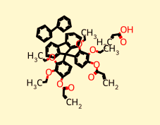 C=CC(=O)O.C=CC(=O)Oc1ccc(C2(c3ccc(OC(=O)C=C)c(OCC)c3OCC)c3ccccc3-c3ccccc32)c(OCC)c1OCC.c1ccc(-c2ccccc2)cc1